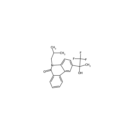 CC(C)Cn1c(=O)c2ccccc2c2cc(C(C)(O)C(F)(F)F)ccc21